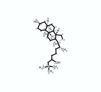 C[C@H](CCCC(O)C[N+](C)(C)C)[C@H]1CC[C@H]2[C@@H]3CC[C@@H]4C[C@H](O)CC[C@]4(C)[C@H]3CC[C@]12C